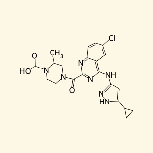 CC1CN(C(=O)c2nc(Nc3cc(C4CC4)[nH]n3)c3cc(Cl)ccc3n2)CCN1C(=O)O